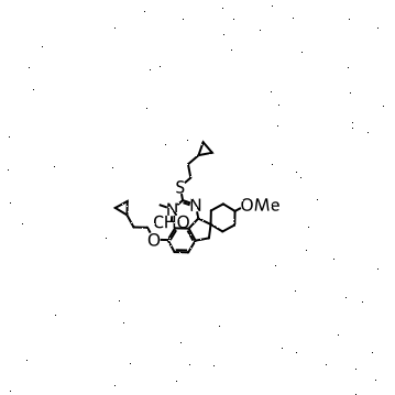 COC1CCC2(CC1)Cc1ccc(OCCC3CC3)cc1C2/N=C(/SCCC1CC1)N(C)C=O